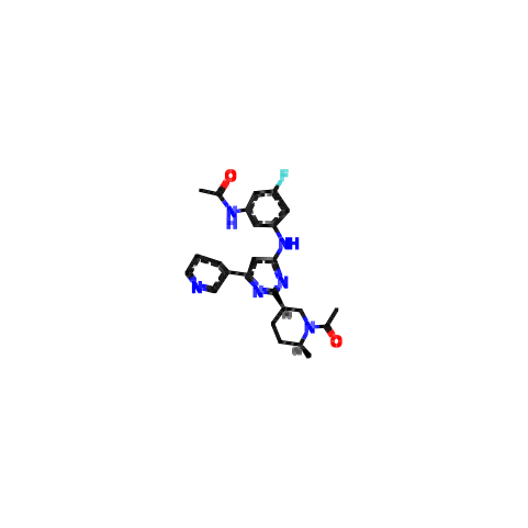 CC(=O)Nc1cc(F)cc(Nc2cc(-c3cccnc3)nc([C@@H]3CC[C@H](C)N(C(C)=O)C3)n2)c1